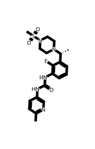 Cc1ccc(NC(=O)Nc2cccc([C@@H](C)N3CCN(S(C)(=O)=O)CC3)c2F)cn1